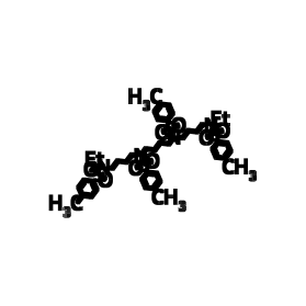 CCN(CCCCN(CCCCN(CCCCN(CC)S(=O)(=O)c1ccc(C)cc1)S(=O)(=O)c1ccc(C)cc1)S(=O)(=O)c1ccc(C)cc1)S(=O)(=O)c1ccc(C)cc1